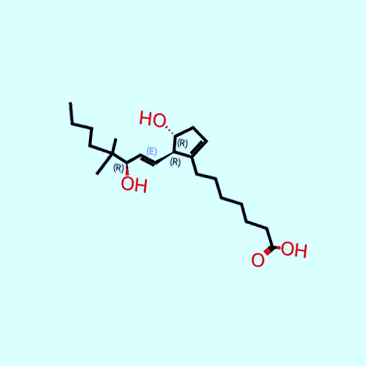 CCCCC(C)(C)[C@H](O)/C=C/[C@@H]1C(CCCCCCC(=O)O)=CC[C@H]1O